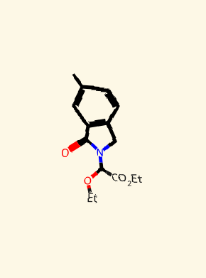 CCOC(=O)C(OCC)N1Cc2ccc(C)cc2C1=O